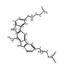 COc1c2[nH]c3ccc(CNCCN(C)C)cc3c2cc2c1[nH]c1ccc(CNCCN(C)C)cc12